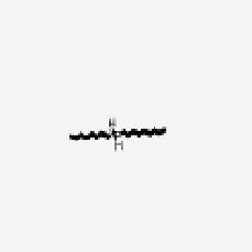 CCCCCCCCCPPCCCCCCCC